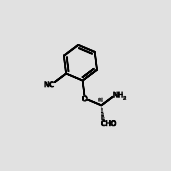 N#Cc1ccccc1O[C@H](N)C=O